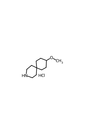 COC1CCC2(CCNCC2)CC1.Cl